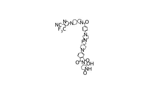 N#Cc1ncc(N2CCC3(CCN(C(=O)c4ccc(N5CCN(CC6(F)CCN(c7ccc8c(c7)C(=O)N(C7CCC(=O)NC7O)C8=O)CC6)CC5)cc4)C3)CC2)cc1C(F)(F)F